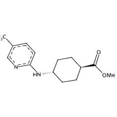 COC(=O)[C@H]1CC[C@H](Nc2ccc(C(F)(F)F)cn2)CC1